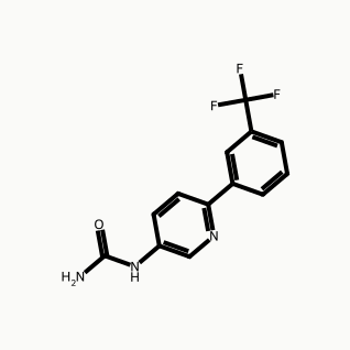 NC(=O)Nc1ccc(-c2cccc(C(F)(F)F)c2)nc1